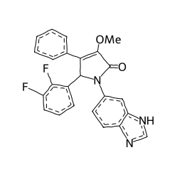 COC1=C(c2ccccc2)C(c2cccc(F)c2F)N(c2ccc3nc[nH]c3c2)C1=O